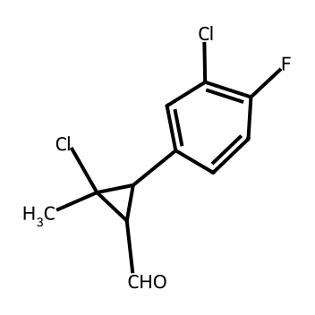 CC1(Cl)C(C=O)C1c1ccc(F)c(Cl)c1